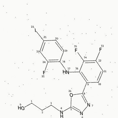 OCCCNc1nnc(-c2ccc(F)c(F)c2Nc2ccc(I)cc2F)o1